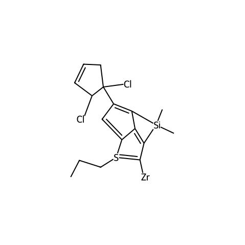 CCCS1=[C]([Zr])C2=C3C1=CC(C1(Cl)CC=CC1Cl)=C3[Si]2(C)C